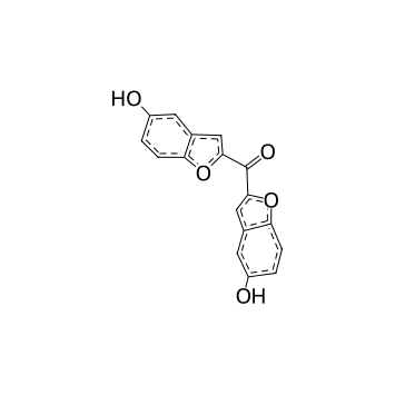 O=C(c1cc2cc(O)ccc2o1)c1cc2cc(O)ccc2o1